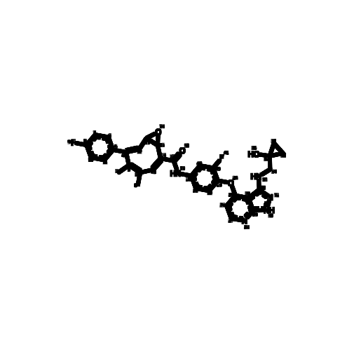 CC1=C(C)/C(c2ccc(F)cc2)=C/C2OC2/C(C(=O)Nc2ccc(Oc3ccnc4[nH]nc(NCC5(O)CC5)c34)c(F)c2)=C\1